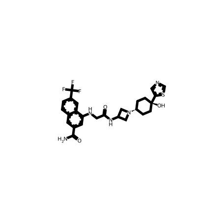 NC(=O)c1cc(NCC(=O)NC2CN([C@H]3CC[C@@](O)(c4cncs4)CC3)C2)c2cc(C(F)(F)F)ccc2c1